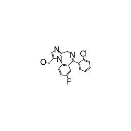 O=Cc1cnc2n1-c1ccc(F)cc1C(c1ccccc1Cl)=NC2